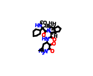 CC(C)(C)[C@](NC(=O)O)(C(=O)N1C[C@@H]2CCC[C@@H]2[C@H]1C(=O)NC(CC1CC1)C(=O)C(N)=O)C1CCCCC1